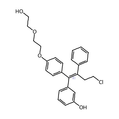 OCCOCCOc1ccc(/C(=C(/CCCl)c2ccccc2)c2cccc(O)c2)cc1